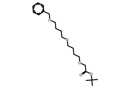 CC(C)(C)OC(=O)COCCCCOCCCCOCc1ccccc1